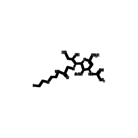 CC(=O)N[C@H]1[C@H]([C@H](OCC(=O)NCCOCCI)[C@H](O)CO)OC(C(=O)O)=C[C@@H]1NC(=N)N